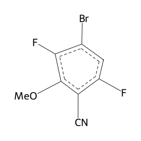 COc1c(F)c(Br)cc(F)c1C#N